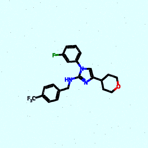 Fc1cccc(-n2cc(C3CCOCC3)nc2NCc2ccc(C(F)(F)F)cc2)c1